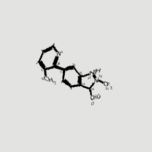 Cc1cccnc1-c1ccc2c(c1)NN(C(F)(F)F)C2C=O